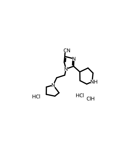 Cl.Cl.Cl.N#Cc1cn(CCN2CCCC2)c(C2CCNCC2)n1